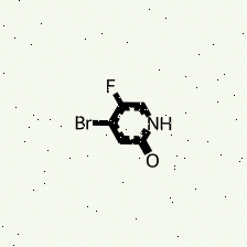 O=c1cc(Br)c(F)c[nH]1